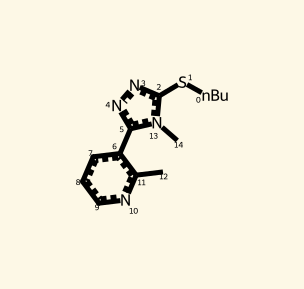 CCCCSc1nnc(-c2cccnc2C)n1C